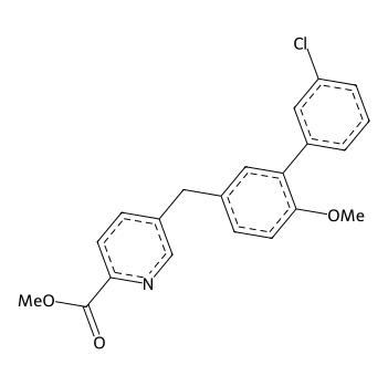 COC(=O)c1ccc(Cc2ccc(OC)c(-c3cccc(Cl)c3)c2)cn1